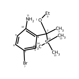 CCOC(C)(c1cc(Br)ccc1N)[Si](C)(C)C